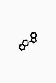 C1=C(N2CCc3ccccc3C2)c2ccccc2C1